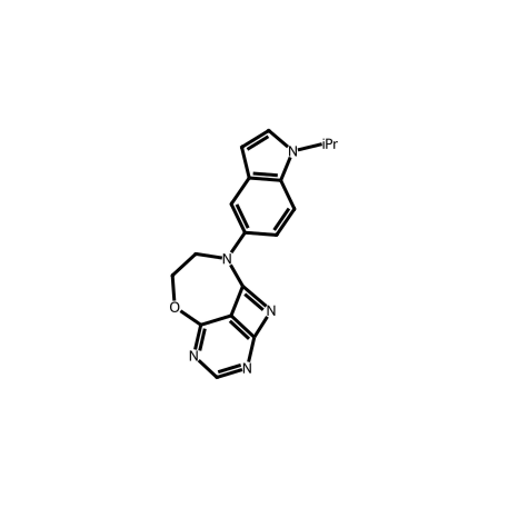 CC(C)n1ccc2cc(N3CCOc4ncnc5c4C3=N5)ccc21